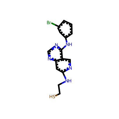 SCCNc1cc2ncnc(Nc3cccc(Br)c3)c2cn1